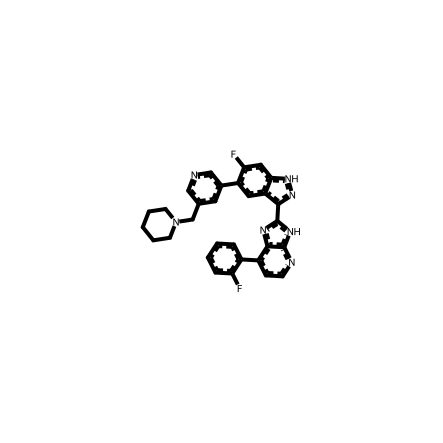 Fc1cc2[nH]nc(-c3nc4c(-c5ccccc5F)ccnc4[nH]3)c2cc1-c1cncc(CN2CCCCC2)c1